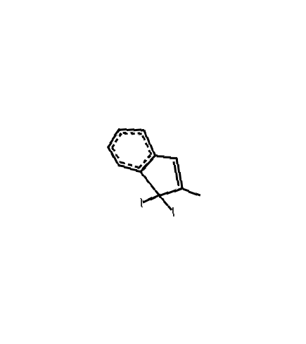 CC1=Cc2ccccc2C1(I)I